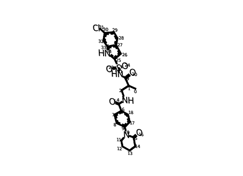 CC(CNC(=O)c1ccc(N2CCCCC2=O)cc1)C(=O)NS(=O)(=O)c1cc2ccc(Cl)cc2[nH]1